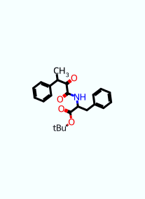 CC(C(=O)C(=O)NC(Cc1ccccc1)C(=O)OC(C)(C)C)c1ccccc1